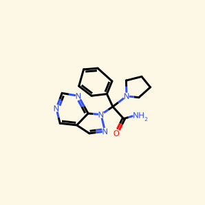 NC(=O)C(c1ccccc1)(N1CCCC1)n1ncc2cncnc21